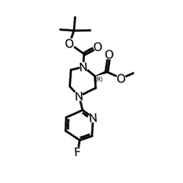 COC(=O)[C@H]1CN(c2ccc(F)cn2)CCN1C(=O)OC(C)(C)C